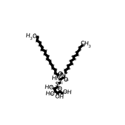 CCCCCCCCCCCCCCCCCC(=O)N[C@@H](CS[C@@H]1OC(CO)[C@H](O)[C@H](O)C1O)C(=O)NCCCCCCCCCCCCCC